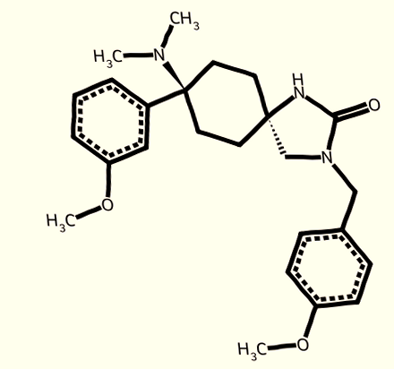 COc1ccc(CN2C[C@]3(CC[C@](c4cccc(OC)c4)(N(C)C)CC3)NC2=O)cc1